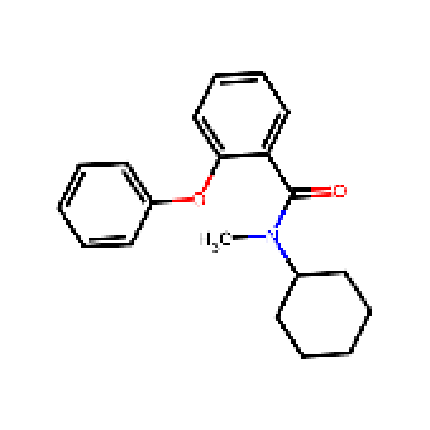 CN(C(=O)c1ccccc1Oc1ccccc1)C1CCCCC1